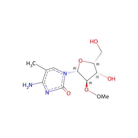 COO[C@@H]1[C@@H](O)[C@@H](CO)O[C@H]1n1cc(C)c(N)nc1=O